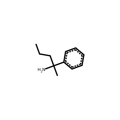 CCCC(C)(N)c1ccccc1